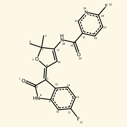 CC1(C)OC(=C2C(=O)Nc3cc(F)ccc32)C=C1NC(=O)c1ccc(F)nc1